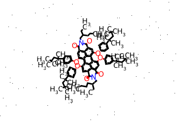 CCCCC(CC)CN1C(=O)c2cc(Oc3ccc(C(C)(C)CC(C)(C)C)cc3)c3c4c(Oc5ccc(C(C)(C)CC(C)(C)C)cc5)cc5c6c(cc(Oc7ccc(C(C)(C)CC(C)(C)C)cc7)c(c7c(Oc8ccc(C(C)(C)CC(C)(C)C)cc8)cc(c2c37)C1=O)c64)C(=O)N(CC(CC)CCC)C5=O